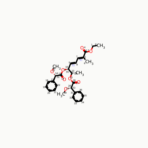 CCOC(=O)/C(C)=C/C=C/[C@H](OC(=O)[C@@H](OC)c1ccccc1)[C@H](C)OC(=O)[C@@H](OC)c1ccccc1